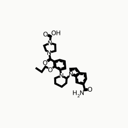 CCCOc1c(C(=O)N2CCN(C(=O)O)CC2)cccc1N1CCCCC1n1ccc2ccc(C(N)=O)cc21